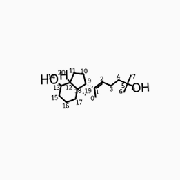 C/C(=C\CCC(C)(C)O)[C@H]1CC[C@H]2C(O)CCC[C@]12C